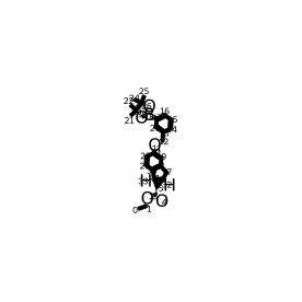 CCOC(=O)[C@H]1[C@@H]2Cc3cc(OCc4cccc(B5OC(C)(C)C(C)(C)O5)c4)ccc3[C@@H]21